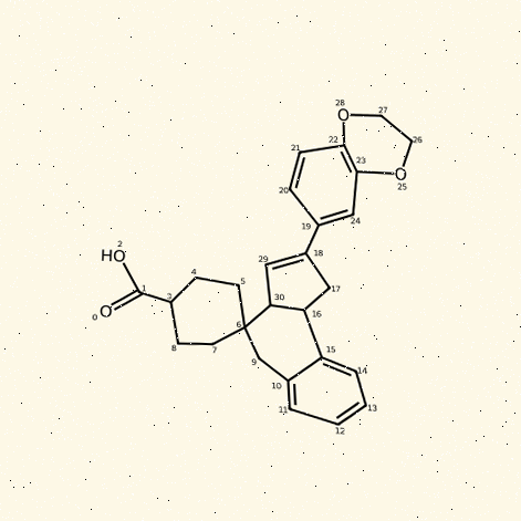 O=C(O)C1CCC2(CC1)Cc1ccccc1C1CC(c3ccc4c(c3)OCCO4)=CC12